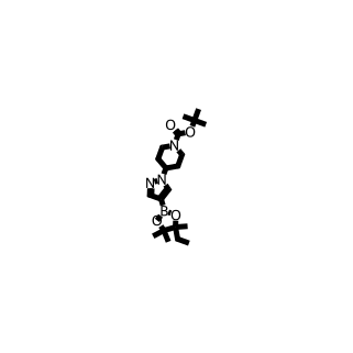 CCC1(C)OB(c2cnn(C3CCN(C(=O)OC(C)(C)C)CC3)c2)OC1(C)C